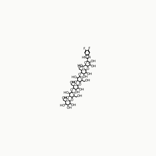 OCC1O[C@H](O[C@@H]2C(CO)O[C@H](O[C@@H]3C(CO)O[C@H](O[C@@H]4C(CO)O[C@H](O[C@@H]5C(CO)O[C@H](O[C@@H]6C(CO)O[C@@H](c7nc8cc(F)c(F)cc8[nH]7)[C@@H](O)C6O)[C@@H](O)C5O)[C@@H](O)C4O)[C@@H](O)C3O)[C@@H](O)C2O)[C@@H](O)C(O)[C@@H]1O